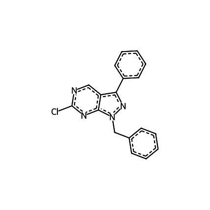 Clc1ncc2c(-c3ccccc3)nn(Cc3ccccc3)c2n1